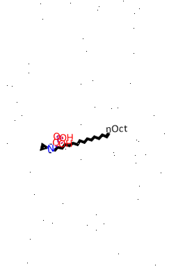 CCCCCCCC/C=C\CCCCCCCCCCCCC(C[N+](C)(C)C1CC1)OP(=O)(O)O